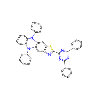 c1ccc(-c2nc(-c3ccccc3)nc(-c3nc4cc5c(cc4s3)N(c3ccccc3)c3ccccc3N5c3ccccc3)n2)cc1